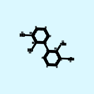 CCCCc1cccc(-c2cccc(O)c2O)c1CCCC